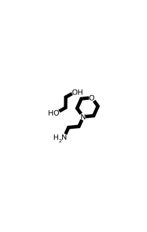 NCCN1CCOCC1.OCCO